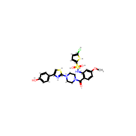 COc1ccc(C(=O)N2CCN(c3nc(-c4ccc(O)cc4)cs3)CC2)c(NS(=O)(=O)c2ccc(Cl)s2)c1